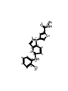 CC(C)NC(=O)c1cc(-n2ncc3nc(Nc4ccccc4Cl)ccc32)cs1